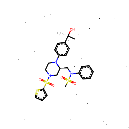 C[C@](O)(c1ccc(N2CCN(S(=O)(=O)c3cccs3)C[C@@H]2CN(c2ccccc2)S(C)(=O)=O)cc1)C(F)(F)F